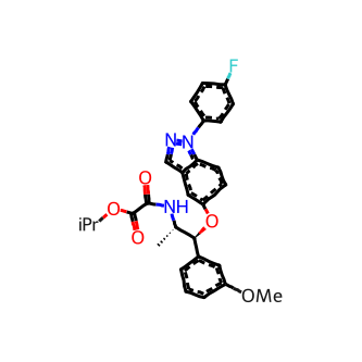 COc1cccc([C@H](Oc2ccc3c(cnn3-c3ccc(F)cc3)c2)[C@H](C)NC(=O)C(=O)OC(C)C)c1